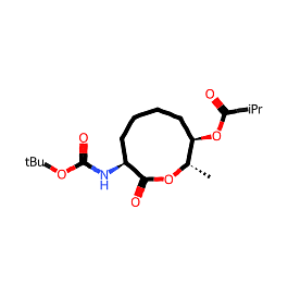 CC(C)C(=O)O[C@@H]1CCCC[C@H](NC(=O)OC(C)(C)C)C(=O)O[C@H]1C